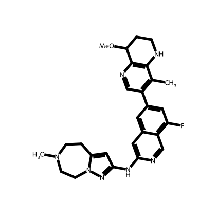 COC1CCNc2c1ncc(-c1cc(F)c3cnc(Nc4cc5n(n4)CCN(C)CC5)cc3c1)c2C